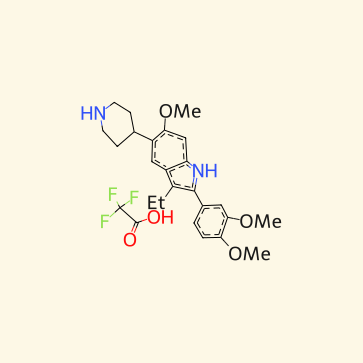 CCc1c(-c2ccc(OC)c(OC)c2)[nH]c2cc(OC)c(C3CCNCC3)cc12.O=C(O)C(F)(F)F